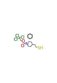 O=C(OCC(Cl)(Cl)Cl)N1CCC(CCS)CC1.c1ccccc1